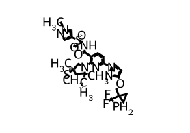 CS[C@@]1(C)CN(c2nc(-n3ccc(OCC4(C(F)(F)P)CC4)n3)ccc2C(=O)NS(=O)(=O)c2cnn(C)c2)C(C)(C)C1